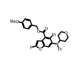 CCc1c(N(CC)C2CCOCC2)cc2oc(F)cc2c1C(=O)OCc1ccc(OC)cc1